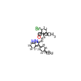 Cc1ccc(Br)cc1CC(Cc1[nH]c2ccccc2c1-c1ccc(C(C)(C)C)cc1)OC=O